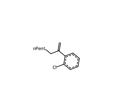 C=C(CCCCCC)c1ccccc1Cl